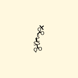 COC(=O)C1SC(=CSCC(=O)OC(C)(C)C)S1